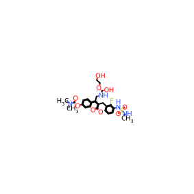 CNS(=O)(=O)Nc1cccc(Cc2c(CNC(O)OCCO)c3ccc(OC(=O)N(C)C)cc3oc2=O)c1F